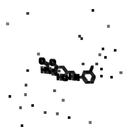 Cc1cccc(NCC(O)Cc2n[nH]c(=O)o2)c1